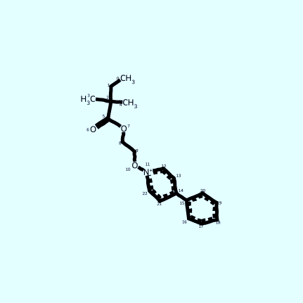 CCC(C)(C)C(=O)OCCO[n+]1ccc(-c2ccccc2)cc1